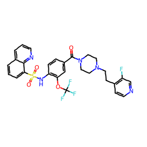 O=C(c1ccc(NS(=O)(=O)c2cccc3cccnc23)c(OC(F)(F)F)c1)N1CCN(CCc2ccncc2F)CC1